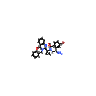 CC(c1nc2ccccc2c(=O)n1Cc1ccccc1)N(CCN)C(=O)c1ccc(Br)cc1